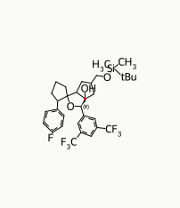 CC(C)(C)[Si](C)(C)OCC1CCC(C2(O[C@@H](CO)c3cc(C(F)(F)F)cc(C(F)(F)F)c3)CCCC2c2ccc(F)cc2)C1